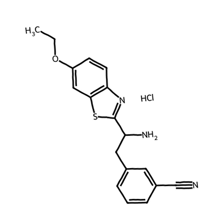 CCOc1ccc2nc(C(N)Cc3cccc(C#N)c3)sc2c1.Cl